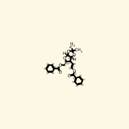 CC1(C)O[C@H]2O[C@H](COC(=O)c3ccccc3)C(/C=C/OC(=O)c3ccccc3)[C@H]2O1